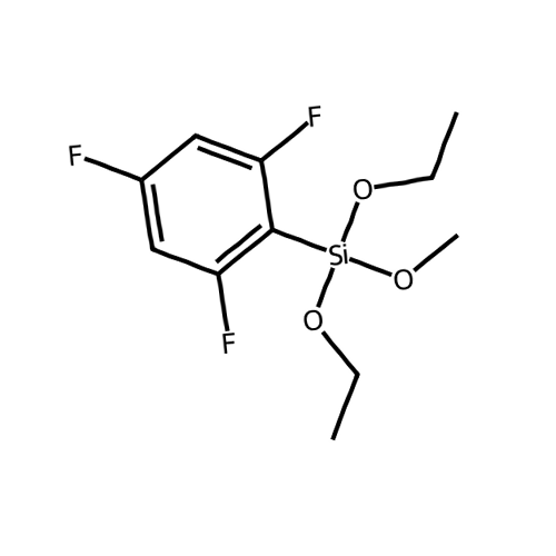 CCO[Si](OC)(OCC)c1c(F)cc(F)cc1F